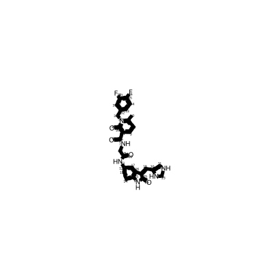 Cc1ccc(C(=O)NCC(=O)Nc2ccc3c(c2)/C(=C/C2=CNCN2)C(=O)N3)c(=O)n1Cc1ccc(F)c(F)c1